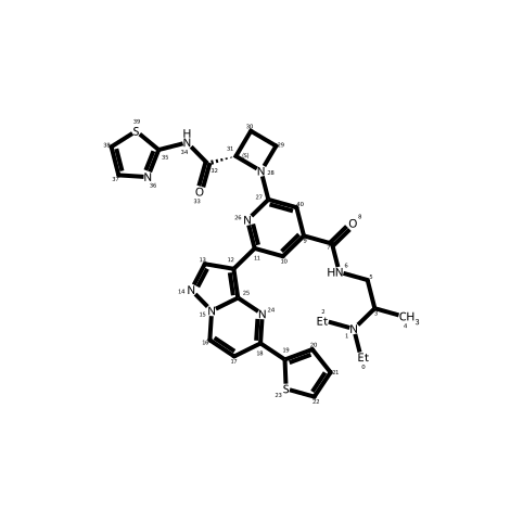 CCN(CC)C(C)CNC(=O)c1cc(-c2cnn3ccc(-c4cccs4)nc23)nc(N2CC[C@H]2C(=O)Nc2nccs2)c1